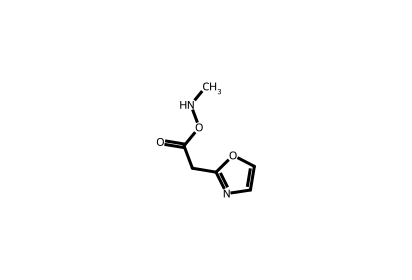 CNOC(=O)Cc1ncco1